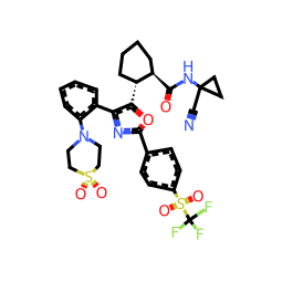 N#CC1(NC(=O)[C@@H]2CCCC[C@H]2c2oc(-c3ccc(S(=O)(=O)C(F)(F)F)cc3)nc2-c2ccccc2N2CCS(=O)(=O)CC2)CC1